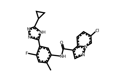 Cc1cc(F)c(-c2nnc(C3CC3)[nH]2)cc1NC(=O)c1cnn2cc(Cl)ccc12